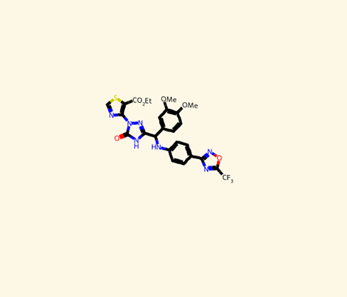 CCOC(=O)c1scnc1-n1nc(C(Nc2ccc(-c3noc(C(F)(F)F)n3)cc2)c2ccc(OC)c(OC)c2)[nH]c1=O